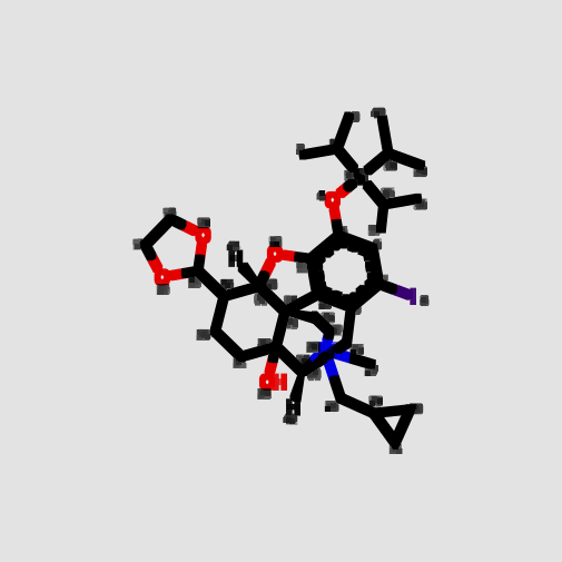 CC(C)[Si](Oc1cc(I)c2c3c1O[C@H]1C(C4OCCO4)CCC4(O)[C@@H](C2)[N+](C)(CC2CC2)CC[C@]314)(C(C)C)C(C)C